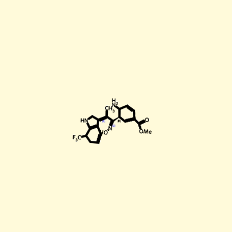 COC(=O)C1=C[C@@H](C(=N/O)/C(C)=C2/CNC3=C2C=CCC3C(F)(F)F)C(N)C=C1